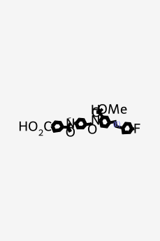 COC(=O)c1cc(/C=C/c2ccc(F)cc2)ccc1NC(=O)c1ccc(N(C)C(=O)c2ccc(C(=O)O)cc2)cc1